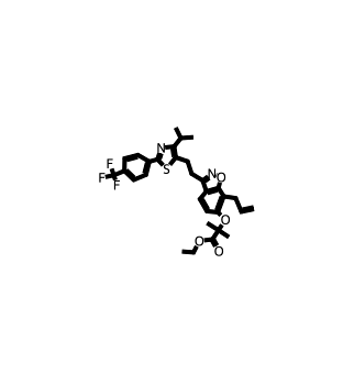 C=CCc1c(OC(C)(C)C(=O)OCC)ccc2c(CCc3sc(-c4ccc(C(F)(F)F)cc4)nc3C(C)C)noc12